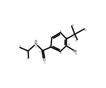 CC(C)NC(=O)c1ccc(C(C)(C)C)c(Br)c1